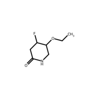 CCOC1CNC(=O)CC1F